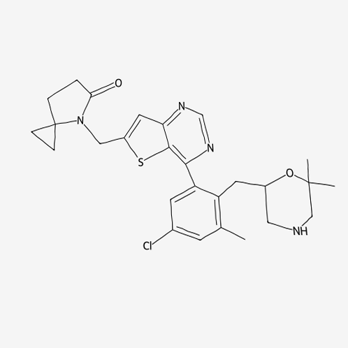 Cc1cc(Cl)cc(-c2ncnc3cc(CN4C(=O)CCC45CC5)sc23)c1CC1CNCC(C)(C)O1